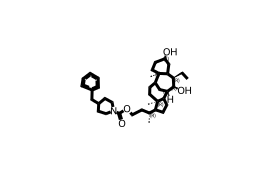 CC[C@@H]1C2C[C@H](O)CC[C@]2(C)C2CC[C@]3(C)C([C@H](C)CCOC(=O)N4CCC(Cc5ccccc5)CC4)CCC3[C@@H](C2)[C@@H]1O